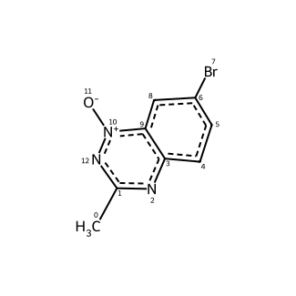 Cc1nc2ccc(Br)cc2[n+]([O-])n1